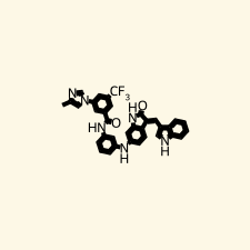 Cc1cn(-c2cc(C(=O)Nc3cccc(Nc4ccc5c(c4)NC(=O)C5=Cc4c[nH]c5ccccc45)c3)cc(C(F)(F)F)c2)cn1